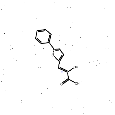 O=C(O)/C(O)=C/c1ccc(-c2ccccc2)o1